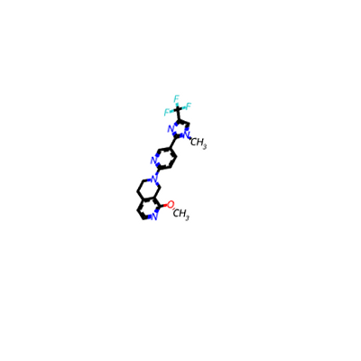 COc1nccc2c1CN(c1ccc(-c3nc(C(F)(F)F)cn3C)cn1)CC2